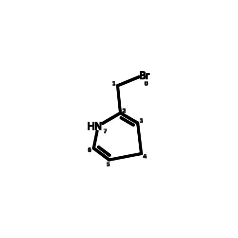 BrCC1=CCC=CN1